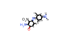 CC1=CC(=O)C(N)=C([N+](=O)[O-])C1=Nc1c(C)cc(N(C)C)cc1C